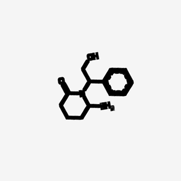 BC1CCCC(=O)N1C(CO)c1ccccc1